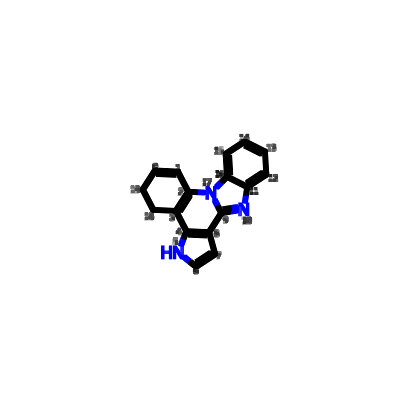 C1=Cc2c(c3[nH]ccc3c3nc4ccccc4n23)CC1